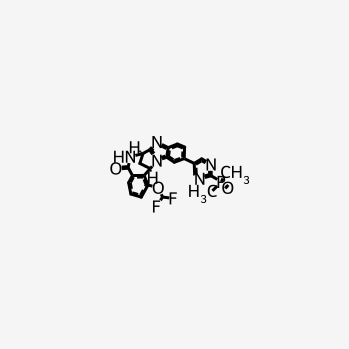 CP(C)(=O)c1ncc(-c2ccc3nc4n(c3c2)[C@@H]2C[C@H]4NC(=O)c3cccc(OC(F)F)c32)cn1